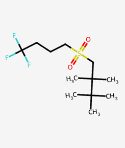 CC(C)(C)C(C)(C)CS(=O)(=O)CCCC(F)(F)F